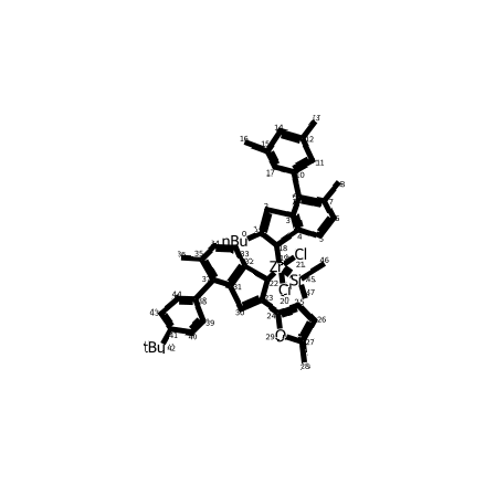 CCCCC1=Cc2c(ccc(C)c2-c2cc(C)cc(C)c2)[CH]1[Zr]([Cl])([Cl])([CH]1C(c2ccc(C)o2)=Cc2c1ccc(C)c2-c1ccc(C(C)(C)C)cc1)=[Si](C)C